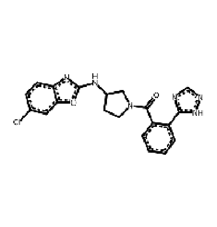 O=C(c1ccccc1-c1ncn[nH]1)N1CCC(Nc2nc3ccc(Cl)cc3o2)C1